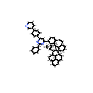 C1=Cc2ccc(-c3cc(-c4ccc(-c5cccnc5)cc4)nc(-c4ccccc4)n3)cc2C2(c3ccccc31)c1ccccc1-c1c2cc2ccc3cccc4ccc1c2c34